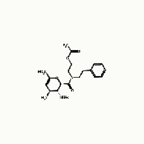 CC(=O)N[C@@H]1[C@@H](N)C=C(C(=O)O)O[C@H]1C(=O)N(CCOC(=O)C(F)(F)F)CCc1ccccc1